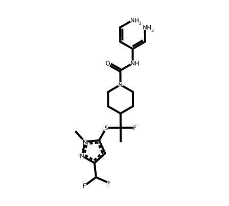 Cn1nc(C(F)F)cc1SC(C)(F)C1CCN(C(=O)NC(/C=C\N)=C/N)CC1